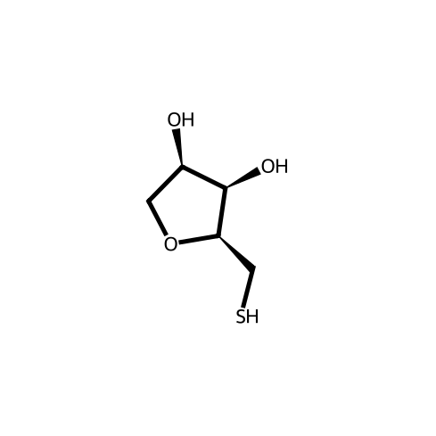 O[C@@H]1[C@H](O)CO[C@@H]1CS